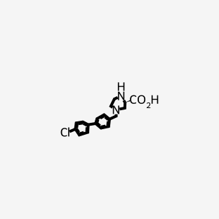 O=C(O)[C@@H]1CN(Cc2ccc(-c3ccc(Cl)cc3)cc2)CCN1